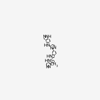 Cc1nnccc1NC(=O)c1cc2ccc(-c3nccc(Nc4ccc5[nH]ncc5c4)n3)cc2[nH]1